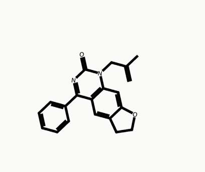 C=C(C)Cn1c(=O)nc(-c2ccccc2)c2cc3c(cc21)OCC3